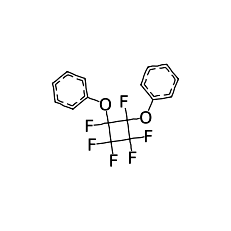 FC1(F)C(F)(F)C(F)(Oc2ccccc2)C1(F)Oc1ccccc1